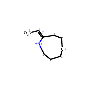 O=[N+]([O-])/C=C1/CCCCCCN1